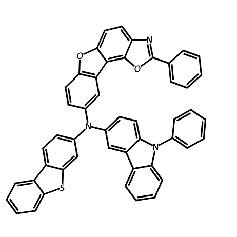 c1ccc(-c2nc3ccc4oc5ccc(N(c6ccc7c(c6)sc6ccccc67)c6ccc7c(c6)c6ccccc6n7-c6ccccc6)cc5c4c3o2)cc1